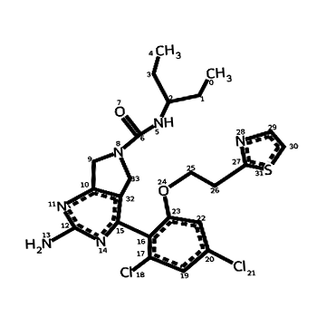 CCC(CC)NC(=O)N1Cc2nc(N)nc(-c3c(Cl)cc(Cl)cc3OCCc3nccs3)c2C1